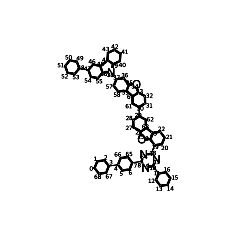 c1ccc(-c2ccc(-c3nc(-c4ccccc4)nc(-c4cccc5c4oc4ccc(-c6ccc7oc8cc(-n9c%10ccccc%10c%10cc(-c%11ccccc%11)ccc%109)ccc8c7c6)cc45)n3)cc2)cc1